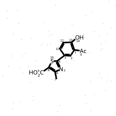 CC(=O)c1cc(-c2nc(C)c(C(=O)O)s2)ccc1O